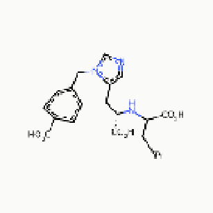 CC(C)CC(N[C@@H](Cc1cncn1Cc1ccc(C(=O)O)cc1)C(=O)O)C(=O)O